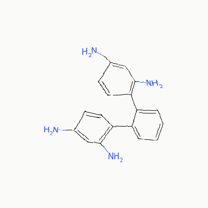 Nc1ccc(-c2ccccc2-c2ccc(N)cc2N)c(N)c1